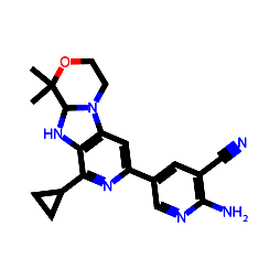 CC1(C)OCCN2c3cc(-c4cnc(N)c(C#N)c4)nc(C4CC4)c3NC21